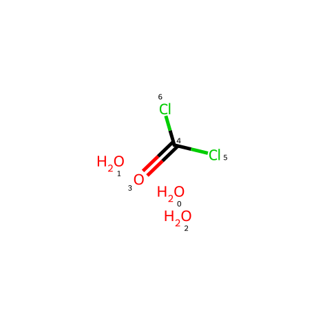 O.O.O.O=C(Cl)Cl